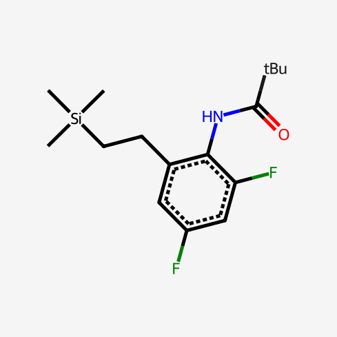 CC(C)(C)C(=O)Nc1c(F)cc(F)cc1CC[Si](C)(C)C